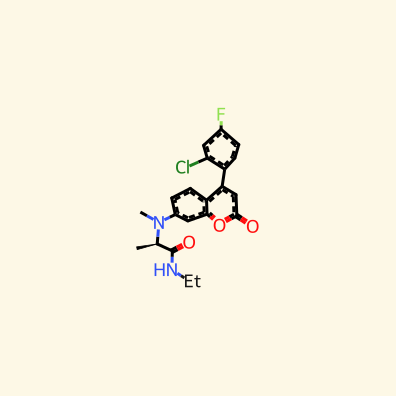 CCNC(=O)[C@@H](C)N(C)c1ccc2c(-c3ccc(F)cc3Cl)cc(=O)oc2c1